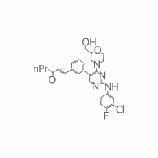 CCCC(=O)/C=C/c1cccc(-c2cnc(Nc3ccc(F)c(Cl)c3)nc2N2CCOC(CO)C2)c1